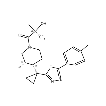 Cc1ccc(-c2nnc(C3([C@H]4CCN(C(=O)[C@@](C)(O)C(F)(F)F)C[C@H]4C)CC3)o2)cc1